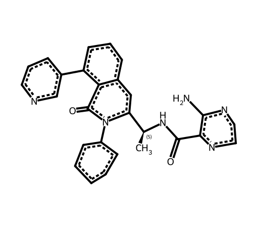 C[C@H](NC(=O)c1nccnc1N)c1cc2cccc(-c3cccnc3)c2c(=O)n1-c1ccccc1